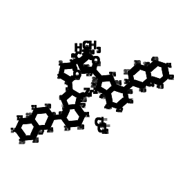 Cc1ccc(C2=Cc3c(-c4ccc5ccccc5c4)cccc3[CH]2[Zr+2][CH]2C(c3ccc(C)o3)=Cc3c(-c4ccc5ccccc5c4)cccc32)o1.[Cl-].[Cl-]